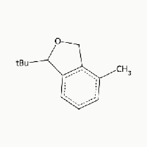 Cc1cccc2c1COC2C(C)(C)C